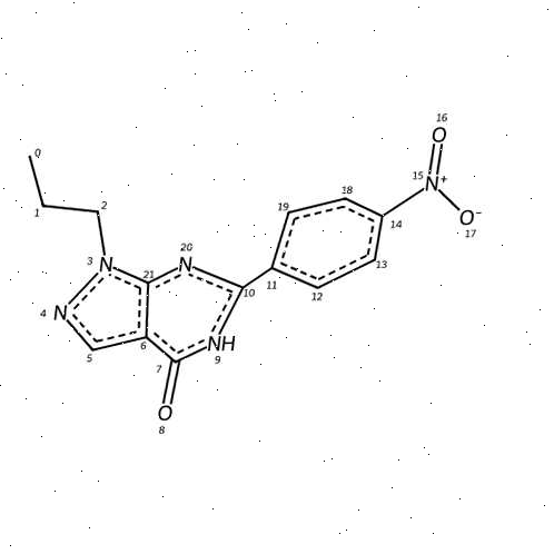 CCCn1ncc2c(=O)[nH]c(-c3ccc([N+](=O)[O-])cc3)nc21